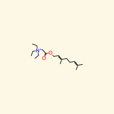 CC[N+](CC)(CC)CC(=O)OC/C=C(\C)CCC=C(C)C